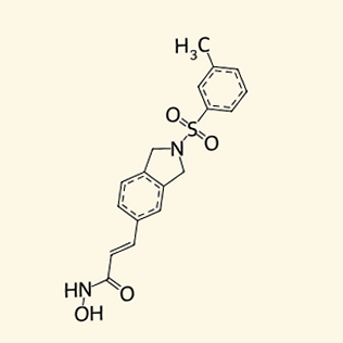 Cc1cccc(S(=O)(=O)N2Cc3ccc(/C=C/C(=O)NO)cc3C2)c1